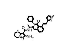 CC(NC(=O)c1c(N)nn2c1N=CCC2)c1cc2cccc(/C=C/c3ccn(C)n3)c2c(=O)n1-c1ccccc1